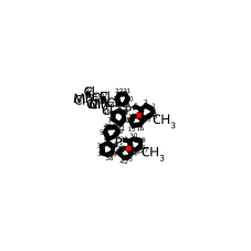 Cc1ccc(C[P+](c2ccccc2)(c2ccccc2)c2ccccc2)cc1.Cc1ccc(C[P+](c2ccccc2)(c2ccccc2)c2ccccc2)cc1.[Cl][Mn-]([Cl])([Cl])[Cl].[Cl][Mn-]([Cl])([Cl])[Cl]